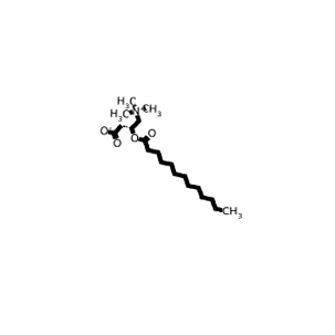 CCCCCCCCCCCCC(=O)O[C@H](CC(=O)[O-])C[N+](C)(C)C